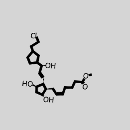 COC(=O)CCC/C=C\C[C@@H]1[C@@H](/C=C/[C@@H](O)C2CCC(CCCl)C2)[C@H](O)C[C@@H]1O